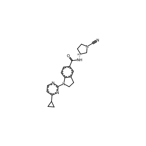 N#CN1CC[C@@H](NC(=O)c2ccc3c(c2)CCN3c2nccc(C3CC3)n2)C1